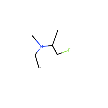 [CH2]CN(C)C(C)CF